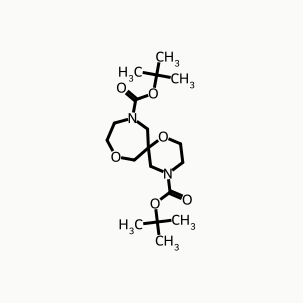 CC(C)(C)OC(=O)N1CCOCC2(C1)CN(C(=O)OC(C)(C)C)CCO2